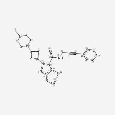 CN1CCN(C2CN(c3nc4ccccc4n3C(=O)NCC#Cc3ccccc3)C2)CC1